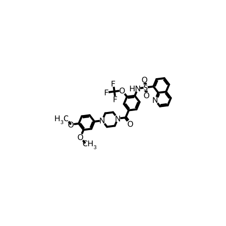 COc1ccc(N2CCN(C(=O)c3ccc(NS(=O)(=O)c4cccc5cccnc45)c(OC(F)(F)F)c3)CC2)cc1OC